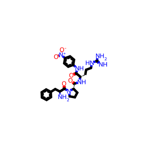 N=C(N)NCCC[C@H](NC(=O)[C@@H]1CCCN1C(=O)[C@@H](N)Cc1ccccc1)C(=O)Nc1ccc([N+](=O)[O-])cc1